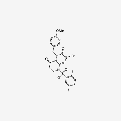 COc1ccc(CC2C(=O)N(C(C)C)C=C3N2C(=O)CCN3S(=O)(=O)c2cc(C)ccc2C)cc1